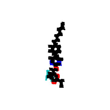 CCCCCCCc1ccc(-c2cnc(OCC(OC(=O)CC)C(F)(F)F)nc2)cc1